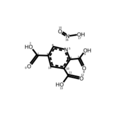 O=C(O)c1cnc(C(=O)O)c(C(=O)O)c1.O=NO